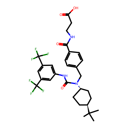 CC(C)(C)[C@H]1CC[C@H](N(Cc2ccc(C(=O)NCCC(=O)O)cc2)C(=O)Nc2cc(C(F)(F)F)cc(C(F)(F)F)c2)CC1